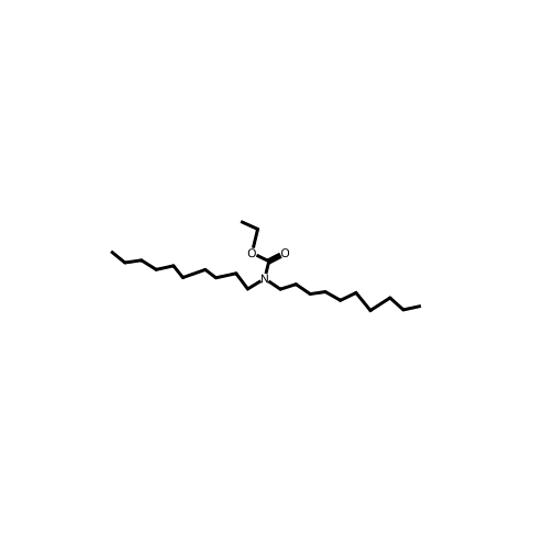 CCCCCCCCCCN(CCCCCCCCCC)C(=O)OCC